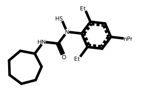 CCCc1cc(CC)c(N(S)C(=O)NC2CCCCCC2)c(CC)c1